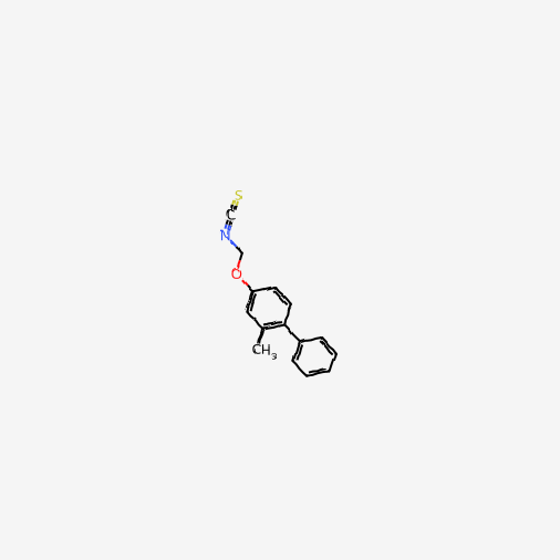 Cc1cc(OCN=C=S)ccc1-c1ccccc1